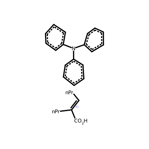 CCC/C=C(\CCC)C(=O)O.c1ccc(N(c2ccccc2)c2ccccc2)cc1